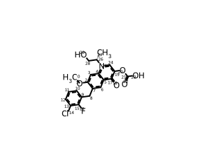 COc1cc2c(cc1Cc1cccc(Cl)c1F)c(=O)c(OC(=O)O)cn2[C@@H](C)CO